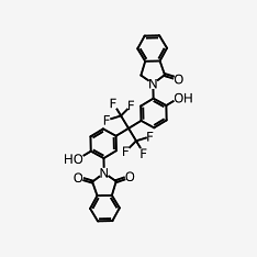 O=C1c2ccccc2CN1c1cc(C(c2ccc(O)c(N3C(=O)c4ccccc4C3=O)c2)(C(F)(F)F)C(F)(F)F)ccc1O